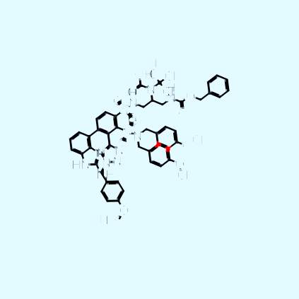 COc1ccc(CN(Cc2ccc(OC)cc2)S(=O)(=O)c2c(S(=O)(=O)NCC(CNC(=O)OCc3ccccc3)N(C(=O)O)C(C)(C)C)ccc(-c3cccc4[nH]c(N)nc34)c2-c2nnn(Cc3ccc(OC)cc3)n2)cc1